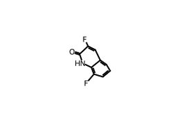 O=c1[nH]c2c(F)cccc2cc1F